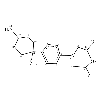 CC1CN(c2ccc(C3(N)CCC(N)CC3)cc2)CC(C)O1